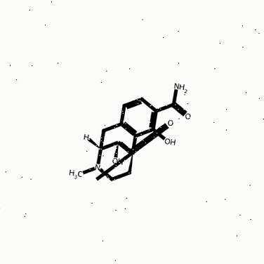 CN1CC[C@]23CC(=O)CC[C@@]2(O)[C@H]1Cc1ccc(C(N)=O)c(O)c13